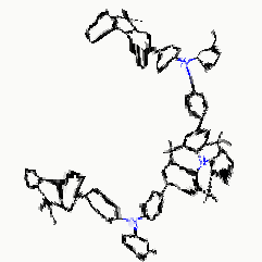 CC1=CC=CC(N(c2ccc(-c3ccc4c(c3)C(C)(C)c3ccccc3-4)cc2)c2ccc(-c3cc4c5c(c3)C(C)(C)c3cc(-c6ccc(N(c7ccc(-c8ccc9c(c8)C(C)(C)c8ccccc8-9)cc7)c7cccc(C)c7)cc6)cc6c3N5c3c(cccc3C4(C)C)C6(C)C)cc2)C1